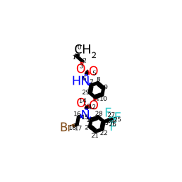 C=CCOC(=O)Nc1cccc(OC(=O)N(CCBr)c2cccc(C(F)(F)F)c2)c1